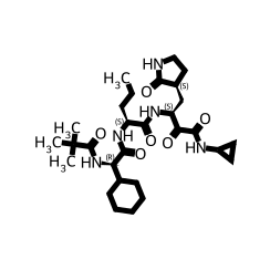 CCC[C@H](NC(=O)[C@H](NC(=O)C(C)(C)C)C1CCCCC1)C(=O)N[C@@H](C[C@@H]1CCNC1=O)C(=O)C(=O)NC1CC1